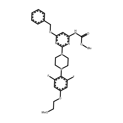 COCCOc1cc(F)c(N2CCN(c3nc(NC(=O)OC(C)(C)C)cc(OCc4ccccc4)n3)CC2)c(F)c1